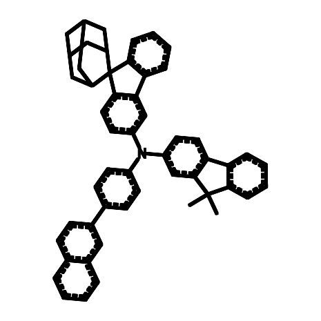 CC1(C)c2ccccc2-c2ccc(N(c3ccc(-c4ccc5ccccc5c4)cc3)c3ccc4c(c3)-c3ccccc3C43C4CC5CC(C4)CC3C5)cc21